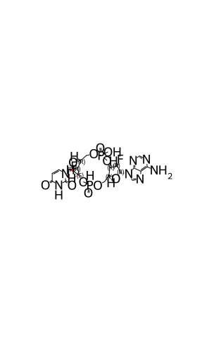 Nc1ncnc2c1ncn2[C@@H]1O[C@@H]2CO[PH](=O)O[C@@H]3[C@H](F)[C@@H](COP(=O)(O)O[C@H]2[C@H]1F)O[C@H]3n1ccc(=O)[nH]c1=O